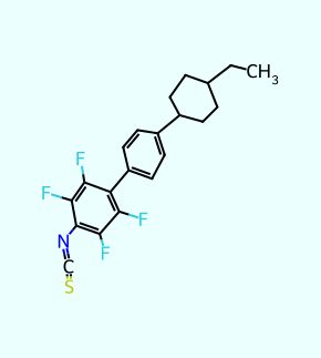 CCC1CCC(c2ccc(-c3c(F)c(F)c(N=C=S)c(F)c3F)cc2)CC1